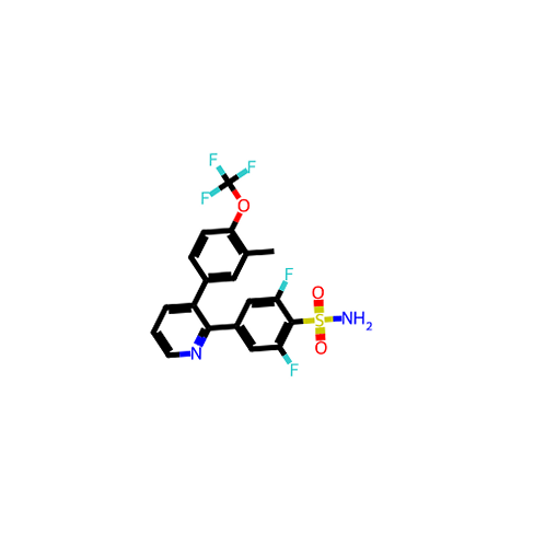 Cc1cc(-c2cccnc2-c2cc(F)c(S(N)(=O)=O)c(F)c2)ccc1OC(F)(F)F